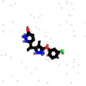 Cc1c(C(C)c2ccc(=O)[nH]n2)n[nH]c1Oc1cccc(Cl)c1